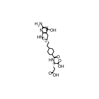 Nc1nc(O)c2c(n1)NC[C@@H](CCC1CCC(C(=O)N[C@@H](CCC(=O)O)C(=O)O)CC1)C2